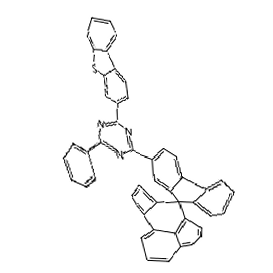 c1ccc(-c2nc(-c3ccc4c(c3)C3(c5ccccc5-4)c4ccccc4-c4cccc5cccc3c45)nc(-c3ccc4c(c3)sc3ccccc34)n2)cc1